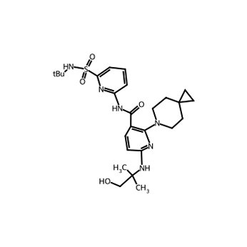 CC(C)(C)NS(=O)(=O)c1cccc(NC(=O)c2ccc(NC(C)(C)CO)nc2N2CCC3(CC2)CC3)n1